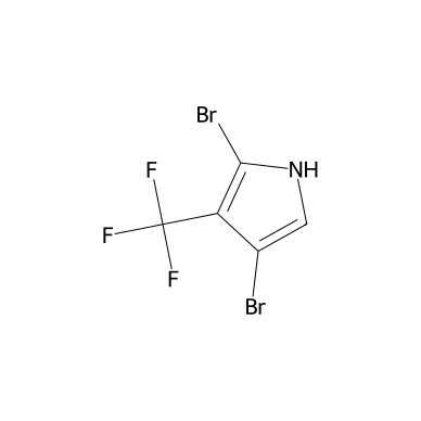 FC(F)(F)c1c(Br)c[nH]c1Br